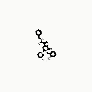 N#Cc1ccccc1Cn1c(N2CCC[C@@H](N)C2)nc2c(C(=O)NCc3ccccc3)csc2c1=O